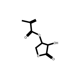 C=C(C)C(=O)OC1COC(=O)C1O